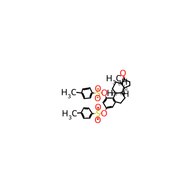 Cc1ccc(S(=O)(=O)Oc2cc3c(c(OS(=O)(=O)c4ccc(C)cc4)c2)[C@H]2CC[C@]4(C)C(=O)CC[C@H]4[C@H]2CC3)cc1